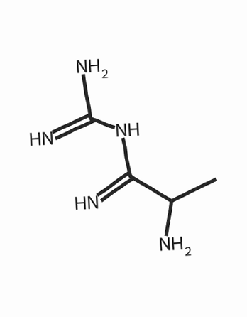 CC(N)C(=N)NC(=N)N